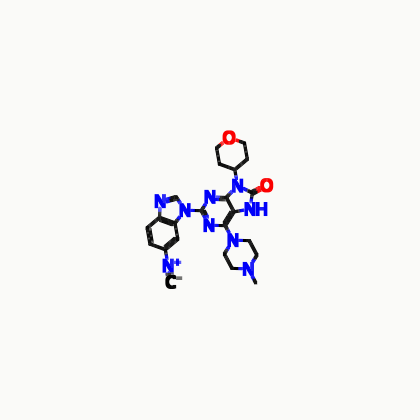 [C-]#[N+]c1ccc2ncn(-c3nc(N4CCN(C)CC4)c4[nH]c(=O)n(C5CCOCC5)c4n3)c2c1